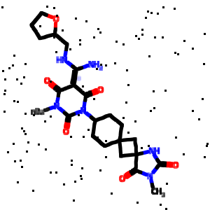 CCCCN1C(=O)/C(=C(/N)NCC2CCCO2)C(=O)N(C2CCC3(CC2)CC2(C3)NC(=O)N(C)C2=O)C1=O